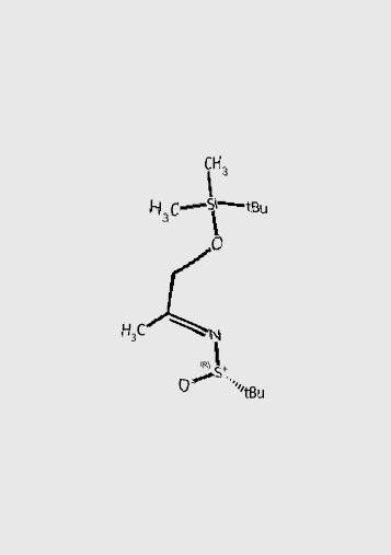 CC(CO[Si](C)(C)C(C)(C)C)=N[S@@+]([O-])C(C)(C)C